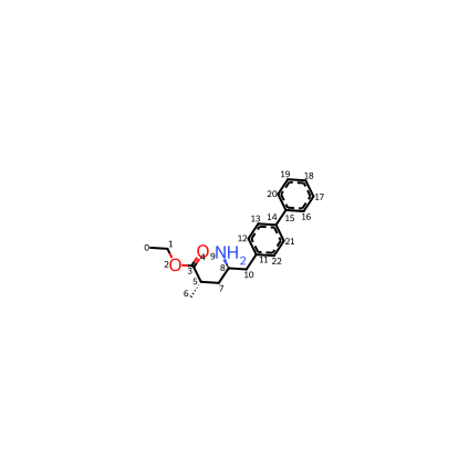 CCOC(=O)[C@@H](C)C[C@@H](N)Cc1ccc(-c2ccccc2)cc1